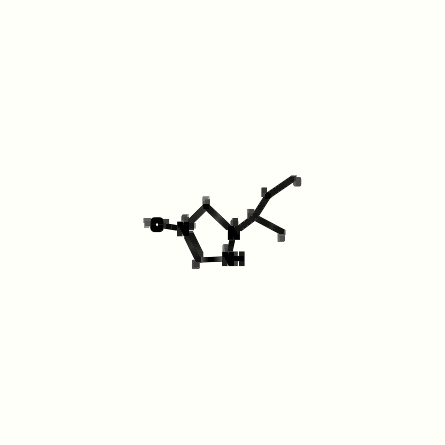 CCC(C)N1C[N+]([O-])=CN1